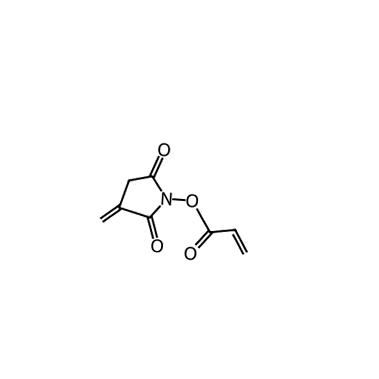 C=CC(=O)ON1C(=O)CC(=C)C1=O